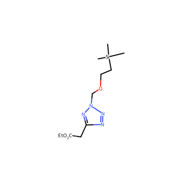 CCOC(=O)Cc1nnn(COCC[Si](C)(C)C)n1